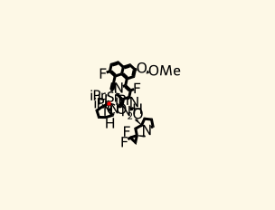 COCOc1cc(-c2ncc3c(N4C[C@H]5CC[C@@H](C4)N5C(=O)O)nc(OC[C@@]45CCCN4C[C@]4(CC4(F)F)C5)nc3c2F)c2c(C#C[Si](C(C)C)(C(C)C)C(C)C)c(F)ccc2c1